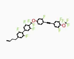 C=CCCc1cc(F)c(-c2cc(F)c(C(F)(F)Oc3ccc(C#Cc4cc(F)c(OC(F)(F)F)c(F)c4)c(F)c3)c(F)c2)c(F)c1